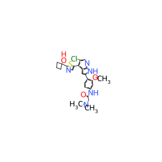 COc1cc(NC(=O)CN(C)C)ccc1-c1cc2c(-c3cnc(C4(O)CCC4)s3)c(Cl)cnc2[nH]1